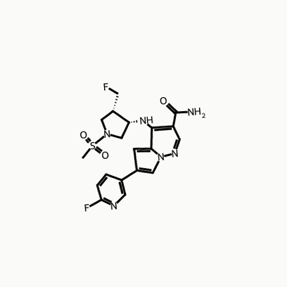 CS(=O)(=O)N1C[C@H](CF)[C@H](Nc2c(C(N)=O)cnn3cc(-c4ccc(F)nc4)cc23)C1